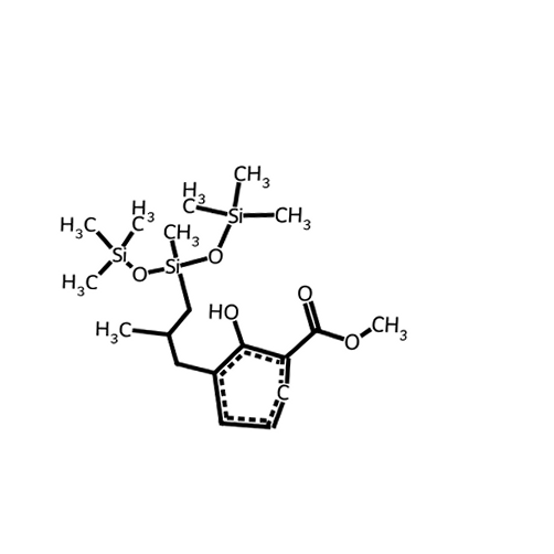 COC(=O)c1cccc(CC(C)C[Si](C)(O[Si](C)(C)C)O[Si](C)(C)C)c1O